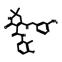 Cc1c(F)cccc1NC(=S)C1=C(NCc2ccnc(N)c2)CC(C)(C)NC1=O